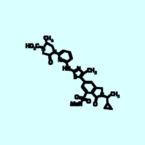 CNS(=O)(=O)c1cc(-c2sc(Nc3cccc(N4C[C@H](C)N(C(=O)O)CC4=O)n3)nc2C)cc2c1C(=O)N(C(C)C1CC1)C2